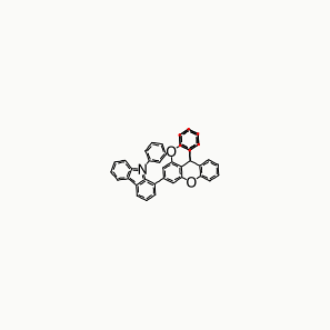 c1ccc(-n2c3ccccc3c3cccc(-c4cc5c6c(c4)Oc4ccccc4C6(c4ccccc4)c4ccccc4O5)c32)cc1